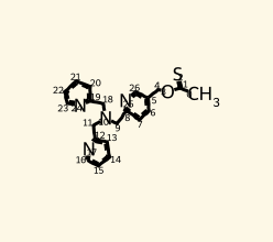 CC(=S)OCc1ccc(CN(Cc2ccccn2)Cc2ccccn2)nc1